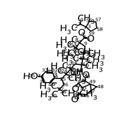 CC(C)C1(OC(=O)C(C)(CC(C)(C)C(C)(C)C(C)(CC(C)(C)C(C)(C)C(CC(C)(C)C)c2ccc(O)cc2)C(=O)OC2C3OC(=O)CC4CC42C3C)C(C)(C)C)CCCC1